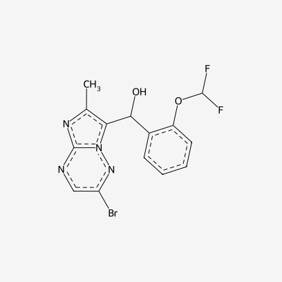 Cc1nc2ncc(Br)nn2c1C(O)c1ccccc1OC(F)F